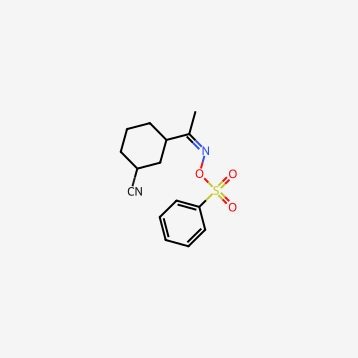 CC(=NOS(=O)(=O)c1ccccc1)C1CCCC(C#N)C1